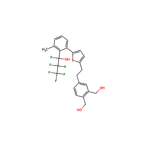 Cc1cccc(-c2ccc(CCc3ccc(CO)c(CO)c3)s2)c1C(O)(F)C(F)(F)C(F)(F)F